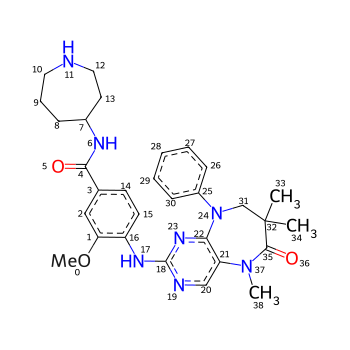 COc1cc(C(=O)NC2CCCNCC2)ccc1Nc1ncc2c(n1)N(c1ccccc1)CC(C)(C)C(=O)N2C